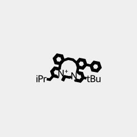 C=C1C[n+]2ccc(C(C)(C)C)cc2-c2cc(-c3ccccc3)ccc2CCc2ccccc2-c2ccc(CC(C)C)c[n+]21